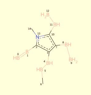 B=Bc1c(BBC)c(BB)c(BB)n1C